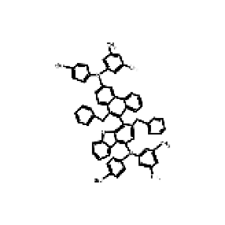 Cc1cc(C)cc(N(c2ccc(C(C)(C)C)cc2)c2ccc3c(Cc4ccccc4)c(-c4c(Cc5ccccc5)cc(N(c5ccc(C(C)(C)C)cc5)c5cc(C)cc(C)c5)c5c4oc4ccccc45)c4ccccc4c3c2)c1